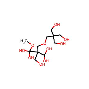 COC(O)(O)C(CO)(COCC(CO)(CO)CO)C(O)O